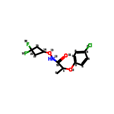 CC(Oc1ccc(Cl)cc1)C(=O)NOC1CC(F)(F)C1